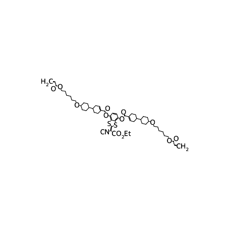 [C-]#[N+]C(C(=O)OCC)=C1Sc2c(OC(=O)C3=CCC(C4CCC(OCCCCCCOC(=O)C=C)CC4)CC3)ccc(OC(=O)C3=CCC(C4CCC(OCCCCCCOC(=O)C=C)CC4)CC3)c2S1